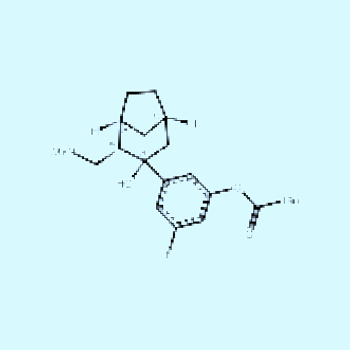 CNC[C@H]1[C@@H]2CC[C@@H](C2)C[C@]1(O)c1cc(F)cc(OC(=O)C(C)(C)C)c1